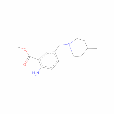 COC(=O)c1cc(CN2CCC(C)CC2)ccc1N